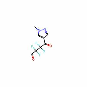 Cn1cc(C(=O)C(F)(F)C(F)(F)C=O)cn1